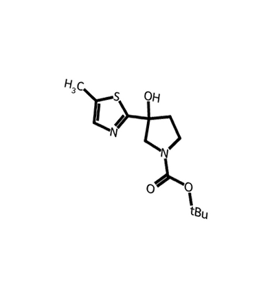 Cc1cnc(C2(O)CCN(C(=O)OC(C)(C)C)C2)s1